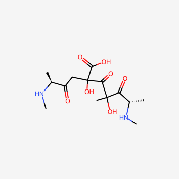 CN[C@@H](C)C(=O)CC(O)(C(=O)O)C(=O)C(C)(O)C(=O)[C@H](C)NC